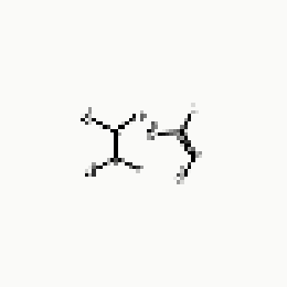 ClC(Cl)C(Cl)Cl.ClC=C(Cl)Cl